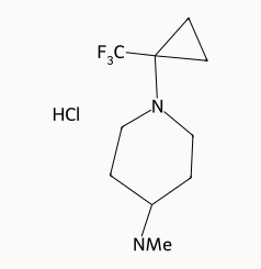 CNC1CCN(C2(C(F)(F)F)CC2)CC1.Cl